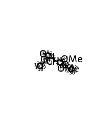 COc1cc(CCn2ccc(=O)c(OCc3ccccc3)c2C)cc(OC)c1OCc1ccccc1